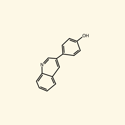 Oc1ccc(-c2cnc3ccccc3c2)cc1